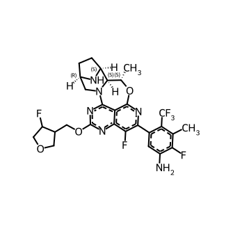 Cc1c(F)c(N)cc(-c2nc3c4c(nc(OCC5COCC5F)nc4c2F)N2C[C@H]4CC[C@H](N4)[C@H]2[C@H](C)O3)c1C(F)(F)F